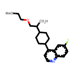 COCCOCC(C(=O)O)C1CCC(c2ccnc3ccc(F)cc23)CC1